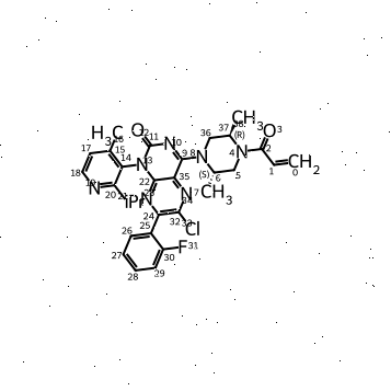 C=CC(=O)N1C[C@H](C)N(c2nc(=O)n(-c3c(C)ccnc3C(C)C)c3nc(-c4ccccc4F)c(Cl)nc23)C[C@H]1C